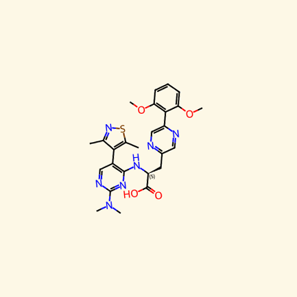 COc1cccc(OC)c1-c1cnc(C[C@H](Nc2nc(N(C)C)ncc2-c2c(C)nsc2C)C(=O)O)cn1